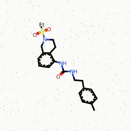 CCS(=O)(=O)N1CCc2c(cccc2NC(=O)NCCc2ccc(C)cc2)C1